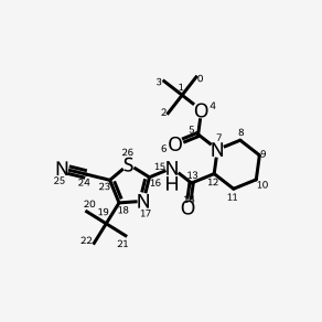 CC(C)(C)OC(=O)N1CCCCC1C(=O)Nc1nc(C(C)(C)C)c(C#N)s1